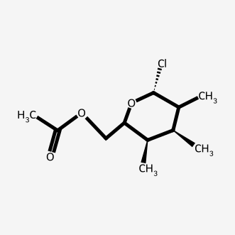 CC(=O)OCC1O[C@H](Cl)C(C)[C@@H](C)[C@H]1C